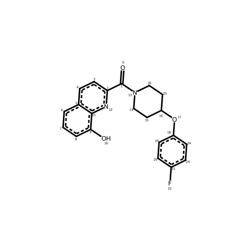 O=C(c1ccc2cccc(O)c2n1)N1CCC(Oc2ccc(F)cc2)CC1